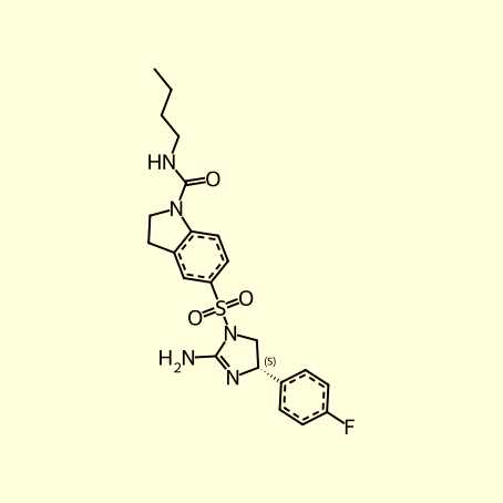 CCCCNC(=O)N1CCc2cc(S(=O)(=O)N3C[C@H](c4ccc(F)cc4)N=C3N)ccc21